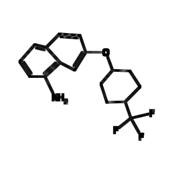 Nc1cccc2ccc(OC3CCC(C(F)(F)F)CC3)cc12